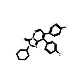 O=c1n(C2CCCCC2)nc2c(-c3ccc(Cl)cc3)c(-c3ccc(Cl)cc3)cnn12